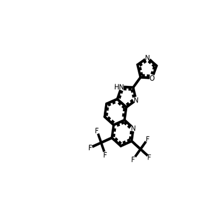 FC(F)(F)c1cc(C(F)(F)F)c2ccc3[nH]c(-c4cnco4)nc3c2n1